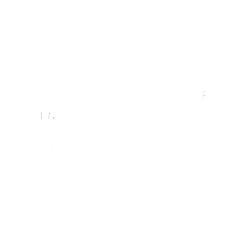 NC(=O)c1ccc(COc2cccc(F)c2)cc1